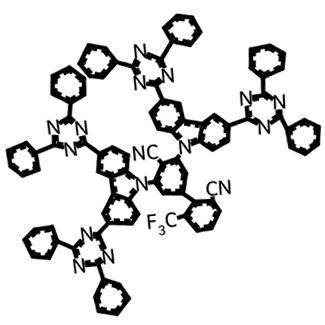 N#Cc1cccc(C(F)(F)F)c1-c1cc(-n2c3ccc(-c4nc(-c5ccccc5)nc(-c5ccccc5)n4)cc3c3cc(-c4nc(-c5ccccc5)nc(-c5ccccc5)n4)ccc32)c(C#N)c(-n2c3ccc(-c4nc(-c5ccccc5)nc(-c5ccccc5)n4)cc3c3cc(-c4nc(-c5ccccc5)nc(-c5ccccc5)n4)ccc32)c1